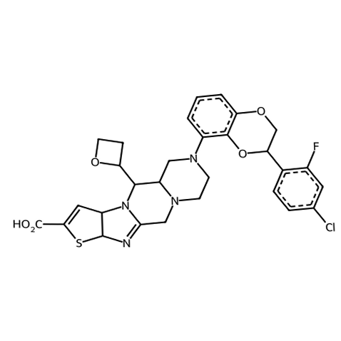 O=C(O)C1=CC2C(N=C3CN4CCN(c5cccc6c5OC(c5ccc(Cl)cc5F)CO6)CC4C(C4CCO4)N32)S1